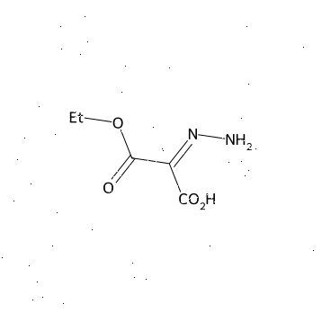 CCOC(=O)C(=NN)C(=O)O